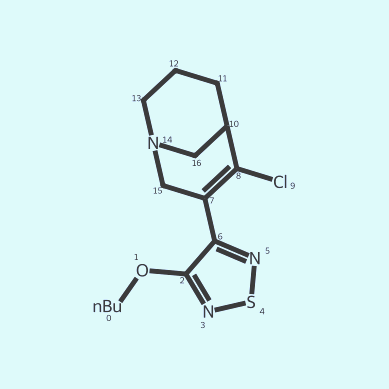 CCCCOc1nsnc1C1=C(Cl)C2CCCN(C1)C2